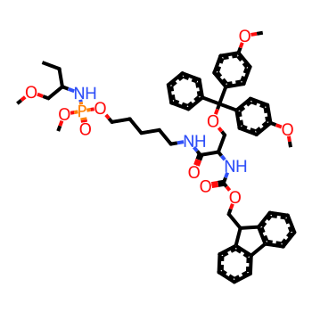 CCC(COC)NP(=O)(OC)OCCCCCNC(=O)C(COC(c1ccccc1)(c1ccc(OC)cc1)c1ccc(OC)cc1)NC(=O)OCC1c2ccccc2-c2ccccc21